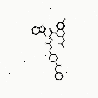 CN(C)C[C@@H]1Cc2cc(Cl)ccc2N(C(=O)[C@@H](Cc2c[nH]c3ccccc23)NC(=O)COC2CCN(C(=O)Cc3ccccc3)CC2)C1